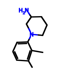 Cc1cccc(N2CCCC(N)C2)c1C